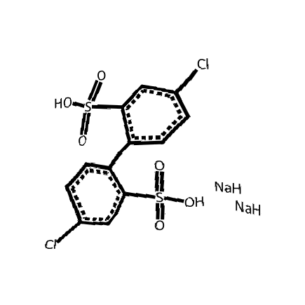 O=S(=O)(O)c1cc(Cl)ccc1-c1ccc(Cl)cc1S(=O)(=O)O.[NaH].[NaH]